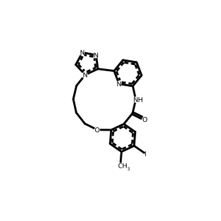 Cc1cc2c(cc1I)C(=O)Nc1cccc(n1)-c1nncn1CCCCO2